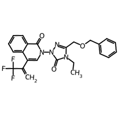 C=C(c1cn(-n2nc(COCc3ccccc3)n(CC)c2=O)c(=O)c2ccccc12)C(F)(F)F